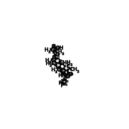 CC(C)C1=C2C3CCC4[C@@]5(C)CC[C@H](OC(=O)CC(C)(C)C(=O)O)C(C)(C)C5CC[C@@]4(C)[C@]3(C)CC[C@@]2(NC(=O)N2CCC(F)(F)C2)CC1=O